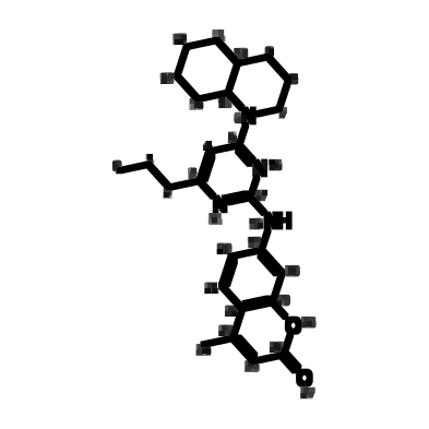 CCCc1cc(N2CCCC3CCCCC32)nc(Nc2ccc3c(C)cc(=O)oc3c2)n1